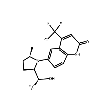 C[C@@H]1CC[C@H]([C@@H](O)C(F)(F)F)N1c1ccc2[nH]c(=O)cc(C(F)(F)Cl)c2c1